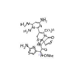 CO/N=C(\C(=O)NC1(C=S)C(=O)N2C(C(=O)O)=C(C3=NC(N)=CC(N)N3N)CS[C@H]21)c1csc(N)n1